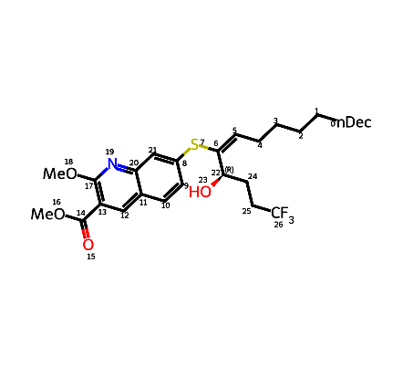 CCCCCCCCCCCCCCC=C(Sc1ccc2cc(C(=O)OC)c(OC)nc2c1)[C@H](O)CCC(F)(F)F